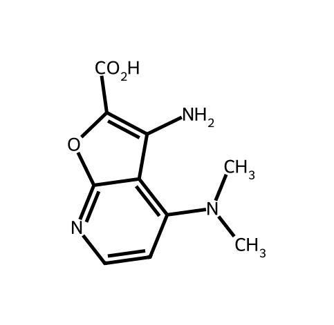 CN(C)c1ccnc2oc(C(=O)O)c(N)c12